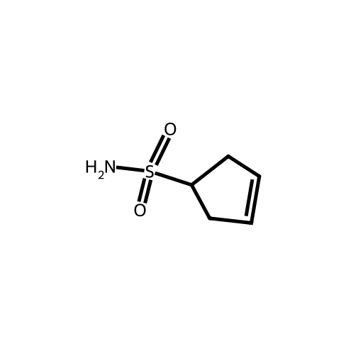 NS(=O)(=O)C1CC=CC1